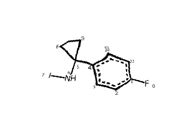 Fc1ccc(C2(NI)CC2)cc1